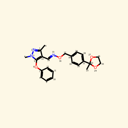 Cc1nn(C)c(Oc2ccccc2)c1C=NOCc1ccc(C2(C)OCCO2)cc1